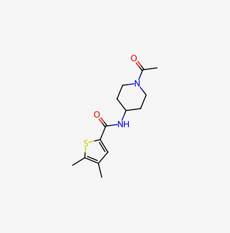 CC(=O)N1CCC(NC(=O)c2cc(C)c(C)s2)CC1